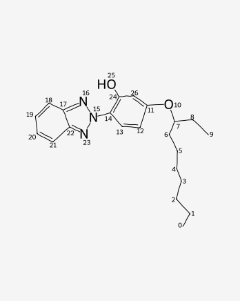 CCCCCCCC(CC)Oc1ccc(-n2nc3ccccc3n2)c(O)c1